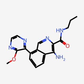 CCCNC(=O)c1ncc2c(-c3nccnc3OC)cccc2c1N